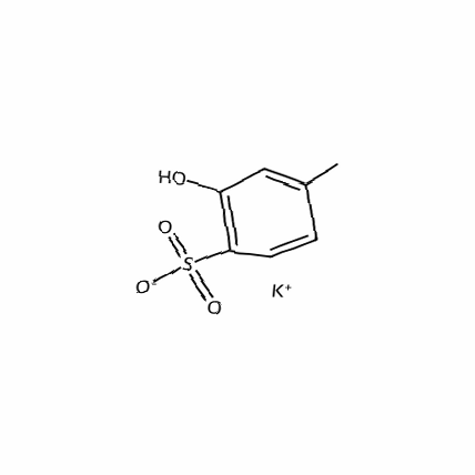 Cc1ccc(S(=O)(=O)[O-])c(O)c1.[K+]